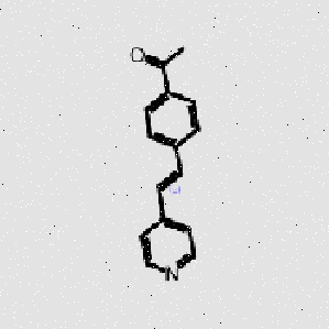 CC(=O)c1ccc(/C=C/c2ccncc2)cc1